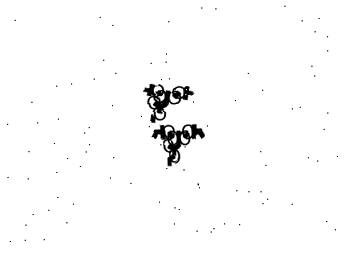 CCOC(=O)CC(C)(OOC(C)(C)C)OOC(C)(C)C.CCOC(=O)CC(C)(OOC(C)(C)CC)OOC(C)(C)CC